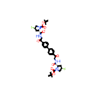 CC(C)(C)OC(=O)N1C[C@H](F)C[C@H]1C(=O)NCC(=O)c1ccc(-c2ccc(C(=O)CNC(=O)[C@@H]3C[C@@H](F)CN3C(=O)OC(C)(C)C)cc2)cc1